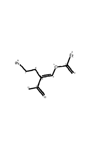 C=C(CC)O/C=C(\CCC(C)C)C(=C)C